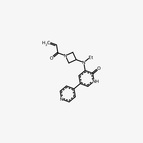 C=CC(=O)N1CC(N(CC)c2cc(-c3ccncc3)c[nH]c2=O)C1